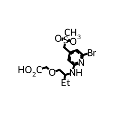 CCC(COCC(=O)O)Nc1cc(CS(C)(=O)=O)cc(Br)n1